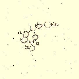 CC(C)(C)N1CCC(n2cc([C@@H](Nc3cc(Cl)c4ncc(C#N)c(NC5CCCC5)c4c3)c3ccc(Cl)cc3)nn2)CC1